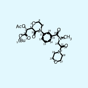 CC(=O)O[C@@H](C(=O)OC(C)(C)C)[C@H]1OCCN(c2cccc(C(=O)N(C)CC(=O)N3CCOCC3)c2)C1=O